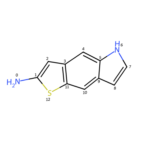 Nc1cc2cc3[nH]ccc3cc2s1